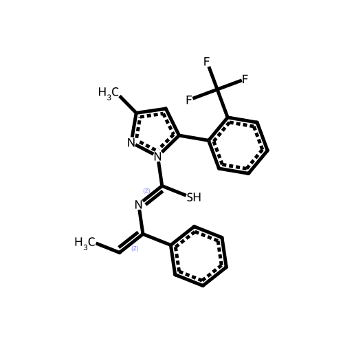 C/C=C(\N=C(/S)n1nc(C)cc1-c1ccccc1C(F)(F)F)c1ccccc1